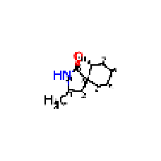 CC1CC2(CCCCC2)C(=O)N1